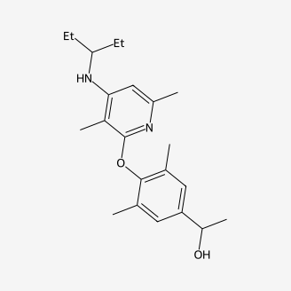 CCC(CC)Nc1cc(C)nc(Oc2c(C)cc(C(C)O)cc2C)c1C